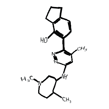 Cc1cc(NC2CN(C)CCC2C)nnc1-c1ccc2c(c1O)CCC2